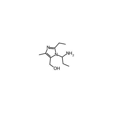 CCc1nc(C)c(CO)n1C(N)CC